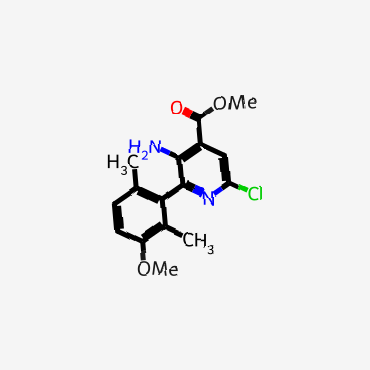 COC(=O)c1cc(Cl)nc(-c2c(C)ccc(OC)c2C)c1N